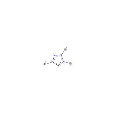 CCc1nc(C(C)C)cn1CC